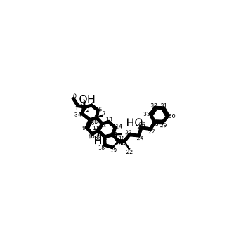 CC[C@]1(O)CC[C@@]2(C)C(=CC[C@@H]3C2CC[C@@]2(C)C3CC[C@@H]2[C@H](C)CC[C@@H](O)Cc2ccccc2)C1